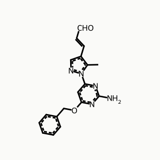 Cc1c(/C=C/C=O)cnn1-c1cc(OCc2ccccc2)nc(N)n1